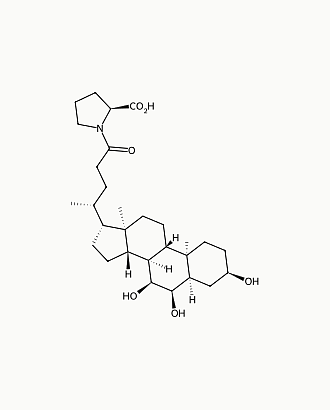 C[C@H](CCC(=O)N1CCC[C@H]1C(=O)O)[C@H]1CC[C@H]2[C@@H]3[C@H](O)[C@H](O)[C@@H]4C[C@H](O)CC[C@]4(C)[C@H]3CC[C@]12C